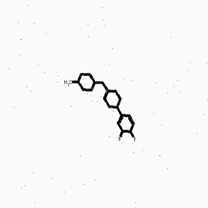 CC1CCC(CC2CCC(C3=CC(F)C(F)C=C3)CC2)CC1